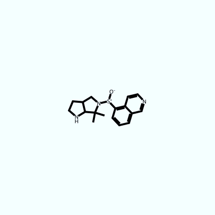 CC1(C)C2NCCC2CN1[S+]([O-])c1cccc2cnccc12